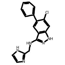 Clc1cc2[nH]nc(NCc3ncc[nH]3)c2cc1-c1ccccc1